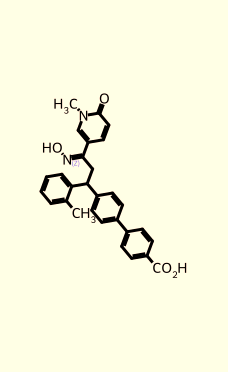 Cc1ccccc1C(C/C(=N/O)c1ccc(=O)n(C)c1)c1ccc(-c2ccc(C(=O)O)cc2)cc1